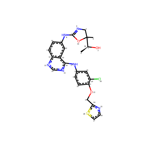 C[C@H](O)C1(C)CN=C(Nc2ccc3ncnc(Nc4ccc(OCc5nccs5)c(Cl)c4)c3c2)O1